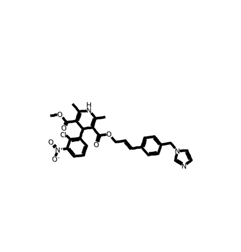 COC(=O)C1=C(C)NC(C)=C(C(=O)OC/C=C/c2ccc(Cn3ccnc3)cc2)C1c1cccc([N+](=O)[O-])c1Cl